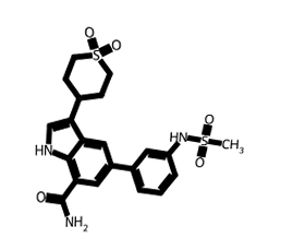 CS(=O)(=O)Nc1cccc(-c2cc(C(N)=O)c3[nH]cc(C4CCS(=O)(=O)CC4)c3c2)c1